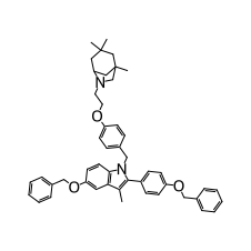 Cc1c(-c2ccc(OCc3ccccc3)cc2)n(Cc2ccc(OCCN3CC4(C)CC3CC(C)(C)C4)cc2)c2ccc(OCc3ccccc3)cc12